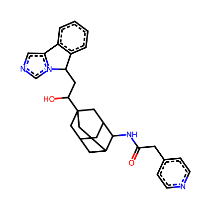 O=C(Cc1ccncc1)NC1C2CC3CC1CC(C(O)CC1c4ccccc4-c4cncn41)(C3)C2